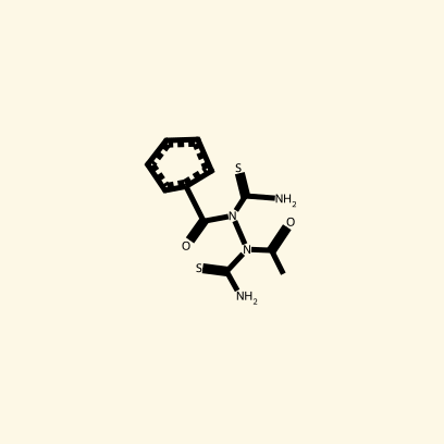 CC(=O)N(C(N)=S)N(C(=O)c1ccccc1)C(N)=S